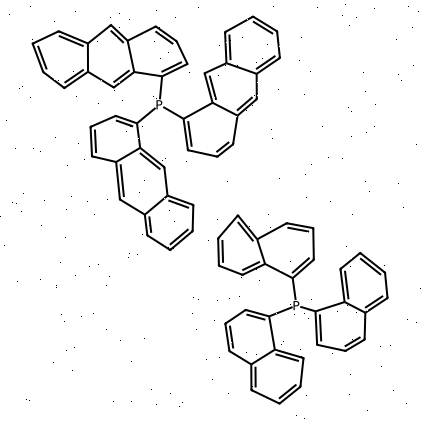 c1ccc2c(P(c3cccc4ccccc34)c3cccc4ccccc34)cccc2c1.c1ccc2cc3c(P(c4cccc5cc6ccccc6cc45)c4cccc5cc6ccccc6cc45)cccc3cc2c1